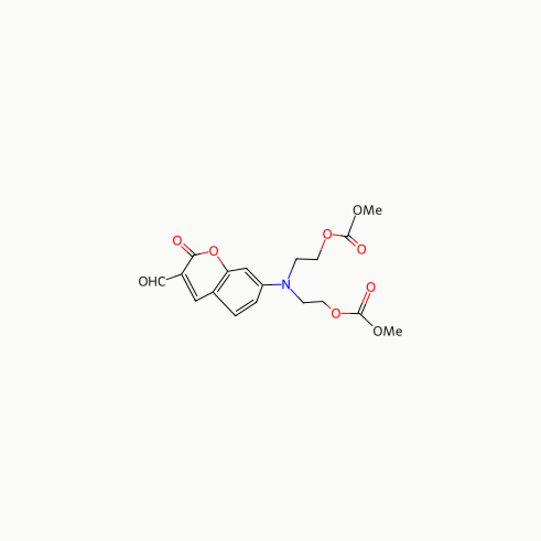 COC(=O)OCCN(CCOC(=O)OC)c1ccc2cc(C=O)c(=O)oc2c1